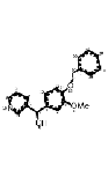 COc1cc(C(O)c2cccnc2)ccc1OCc1ccccc1